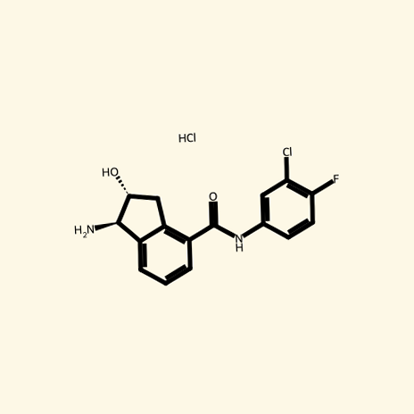 Cl.N[C@@H]1c2cccc(C(=O)Nc3ccc(F)c(Cl)c3)c2C[C@H]1O